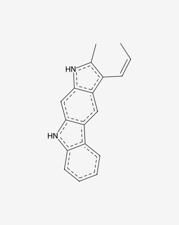 C/C=C\c1c(C)[nH]c2cc3[nH]c4ccccc4c3cc12